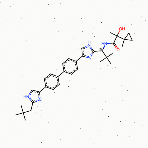 CC(C)(C)Cc1nc(-c2ccc(-c3ccc(-c4c[nH]c([C@@H](NC(=O)C(C)(O)C5(C)CC5)C(C)(C)C)n4)cc3)cc2)c[nH]1